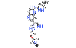 CC(C)c1cnnc(Nc2ccc3ncc(/C(C=N)=C/NCCOC4CN(C(C)C)C4)cc3n2)c1